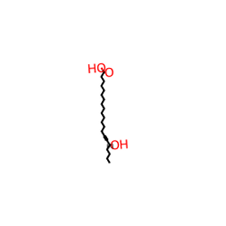 CCCC[C@@H](O)C#CCCCCCCCCCCCCCC(=O)O